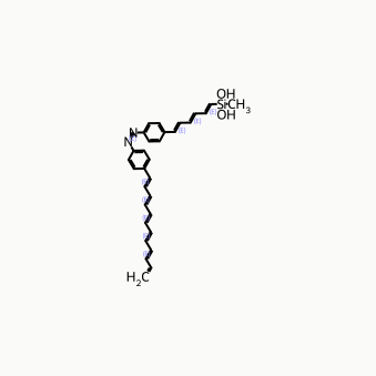 C=C/C=C/C=C/C=C/C=C/C=C/c1ccc(/N=N\c2ccc(/C=C/C=C/C=C/[Si](C)(O)O)cc2)cc1